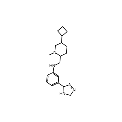 CN1CC(C2CCC2)CCC1CNc1cccc(C2N=NCN2)c1